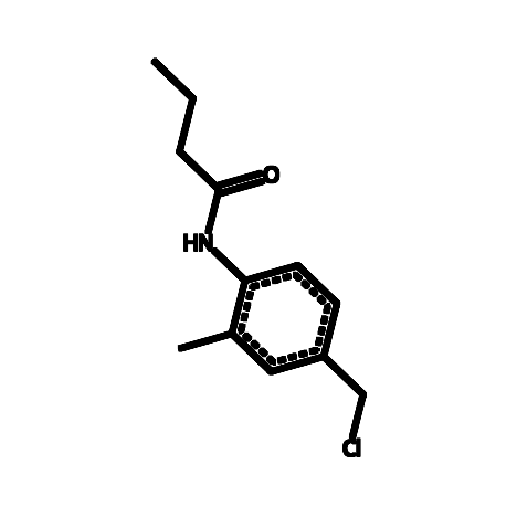 CCCC(=O)Nc1ccc(CCl)cc1C